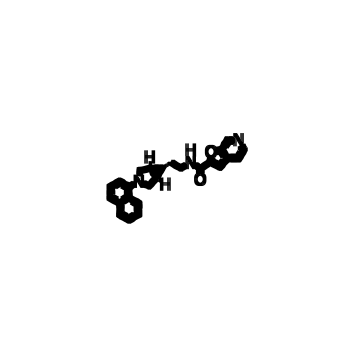 O=C(NCC[C@@H]1[C@H]2CN(c3cccc4ccccc34)C[C@@H]12)c1cc2ccncc2o1